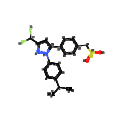 CC(C)c1ccc(-n2nc(C(F)F)cc2-c2ccc(C[SH](=O)=O)cc2)cc1